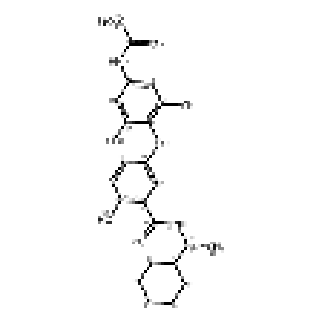 CCOC(=O)C(=O)Nc1cc(Cl)c(Oc2ccc(O)c(C(=O)N[C@H](C)C3CCCCC3)c2)c(Cl)c1